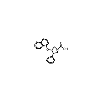 O=C(O)N1CC(Oc2cccc3cnccc23)C(c2ccccc2)C1